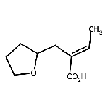 C/C=C(\CC1CCCO1)C(=O)O